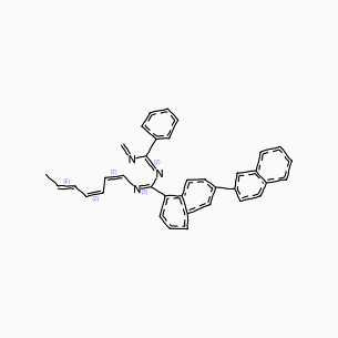 C=N\C(=N/C(=N\C=C/C=C\C=C\C)c1cccc2cc(-c3ccc4ccccc4c3)ccc12)c1ccccc1